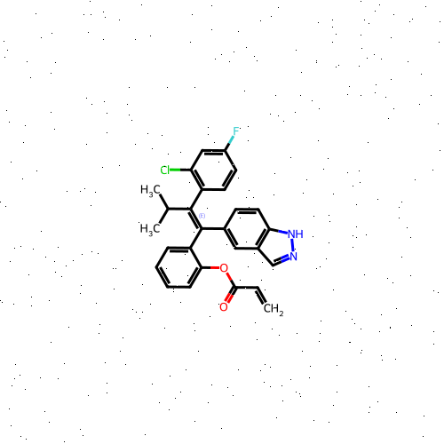 C=CC(=O)Oc1ccccc1/C(=C(/c1ccc(F)cc1Cl)C(C)C)c1ccc2[nH]ncc2c1